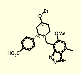 CCO[C@H]1CCN(Cc2c(OC)cc(C)c3[nH]nnc23)[C@H](c2ccc(C(=O)O)cc2)C1